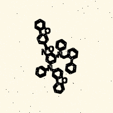 c1ccc(-c2ccccc2CN(c2ccccc2)c2cc(N(c3ccccc3)c3ccc4oc5ccccc5c4c3)cc3nc(-c4ccc5c(c4)oc4ccccc45)oc23)cc1